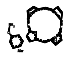 BOc1ccccc1.C1=Cc2cc3ccc(cc4nc(cc5ccc(cc1n2)[nH]5)C=C4)[nH]3.[Mn]